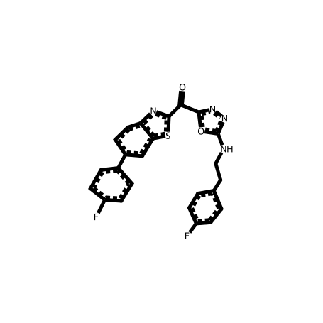 O=C(c1nnc(NCCc2ccc(F)cc2)o1)c1nc2ccc(-c3ccc(F)cc3)cc2s1